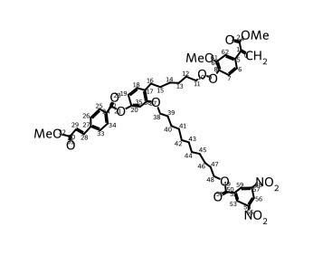 C=C(C(=O)OC)c1ccc(OOCCCCCCc2ccc(OC(=O)c3ccc(C=CC(=O)OC)cc3)cc2OCCCCCCCCCCCOC(=O)c2cc([N+](=O)[O-])cc([N+](=O)[O-])c2)c(OC)c1